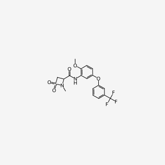 COc1ccc(Oc2cccc(C(F)(F)F)c2)cc1NC(=O)C1CS(=O)(=O)N1C